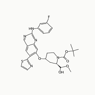 COC(O)[C@H]1CC(Oc2cc3nc(Nc4cccc(F)c4)ncc3cc2-c2nccs2)CCN1C(=O)OC(C)(C)C